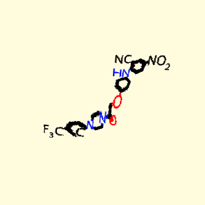 N#Cc1cc([N+](=O)[O-])ccc1N[C@H]1CC[C@H](OCC(=O)N2CCN(c3ccc(C(F)(F)F)cc3)CC2)CC1